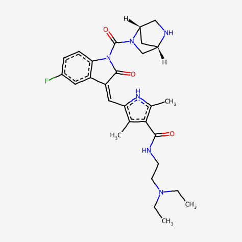 CCN(CC)CCNC(=O)c1c(C)[nH]c(/C=C2\C(=O)N(C(=O)N3C[C@@H]4C[C@H]3CN4)c3ccc(F)cc32)c1C